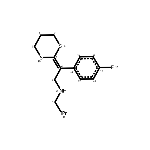 CC(C)CNCC(=C1SCCCS1)c1ccc(F)cc1